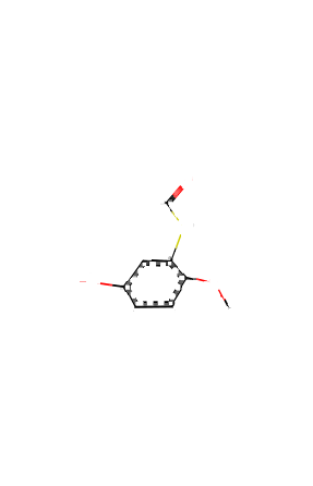 COc1ccc(O)cc1SC=O